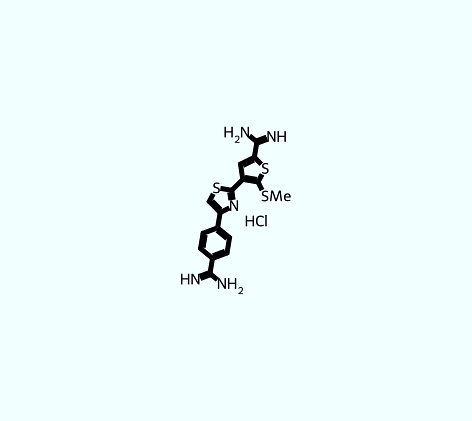 CSc1sc(C(=N)N)cc1-c1nc(-c2ccc(C(=N)N)cc2)cs1.Cl